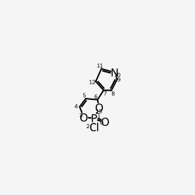 O=P1(Cl)OC=CC(c2ccncc2)O1